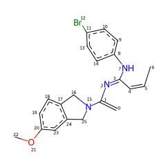 C=C(/N=C(\C=C/C)Nc1ccc(Br)cc1)N1Cc2ccc(OC)cc2C1